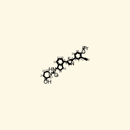 C#Cc1cc(-c2ncc(-c3cccc4c3CCC4NC(=O)N3CCC[C@H](O)C3)s2)ccc1OC(C)C